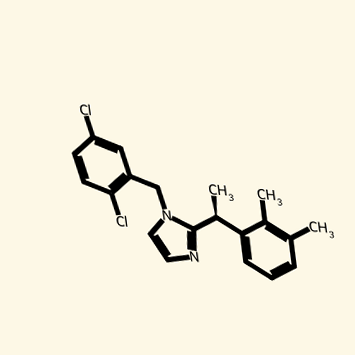 Cc1cccc([C@H](C)c2nccn2Cc2cc(Cl)ccc2Cl)c1C